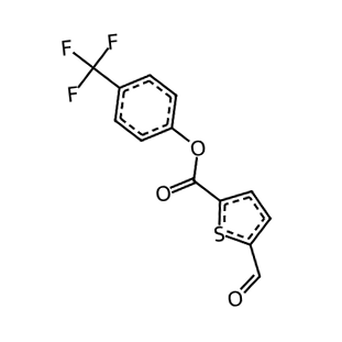 O=Cc1ccc(C(=O)Oc2ccc(C(F)(F)F)cc2)s1